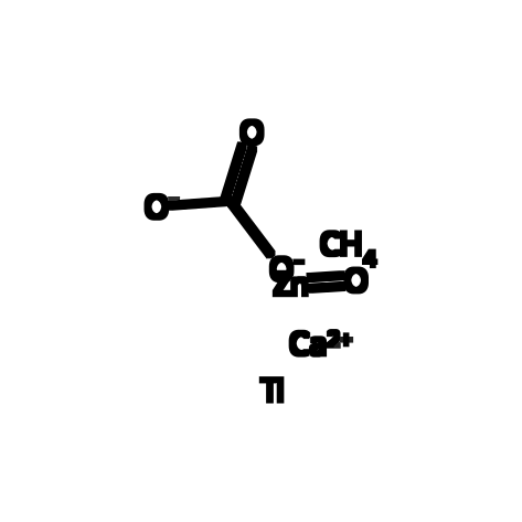 C.O=C([O-])[O-].[Ca+2].[O]=[Zn].[Ti]